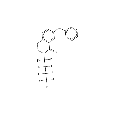 O=C1c2cc(Cc3ccccc3)ccc2CCC1C(F)(F)C(F)(F)C(F)(F)C(F)(F)F